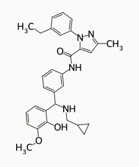 CCc1cccc(-n2nc(C)cc2C(=O)Nc2cccc(C(NCC3CC3)c3cccc(OC)c3O)c2)c1